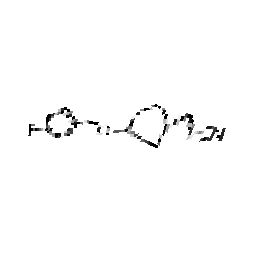 N#CC=C[C@H]1CC[C@H](OCc2ccc(F)cc2)CC1